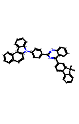 CC1(C)c2ccccc2-c2ccc(-c3nc(-c4ccc(-n5c6ccccc6c6c7ccccc7ccc65)cc4)nc4ccccc34)cc21